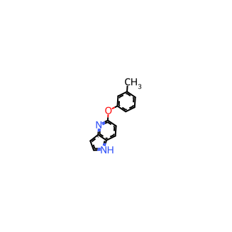 Cc1cccc(Oc2ccc3[nH]ccc3n2)c1